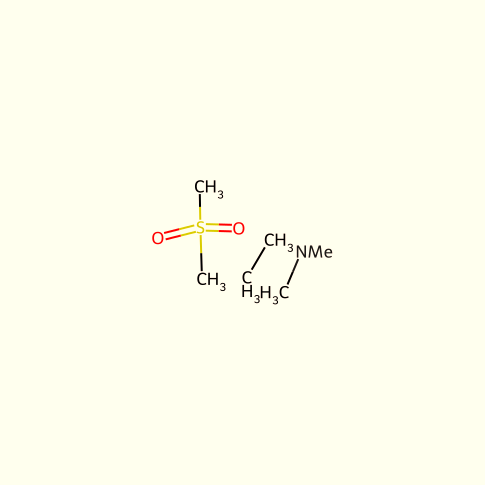 CC.CNC.CS(C)(=O)=O